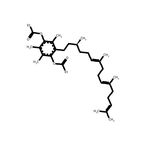 CCC(=O)Oc1c(C)c(C)c(OC(=O)CC)c(CC[C@@H](C)CC/C=C(\C)CC/C=C(\C)CCC=C(C)C)c1C